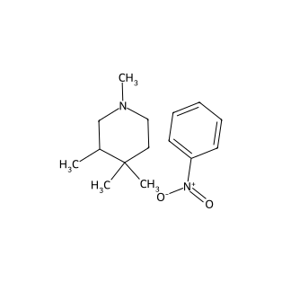 CC1CN(C)CCC1(C)C.O=[N+]([O-])c1ccccc1